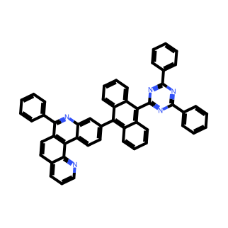 c1ccc(-c2nc(-c3ccccc3)nc(-c3c4ccccc4c(-c4ccc5c(c4)nc(-c4ccccc4)c4ccc6cccnc6c45)c4ccccc34)n2)cc1